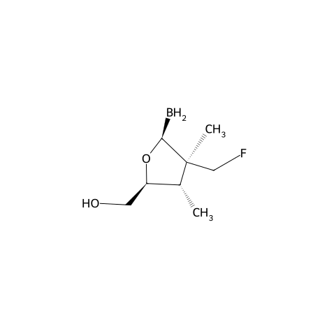 B[C@@H]1O[C@H](CO)[C@@H](C)[C@]1(C)CF